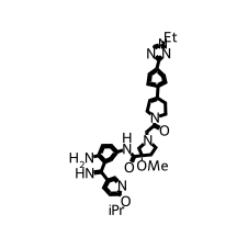 CCn1cnc(-c2ccc(C3=CCN(C(=O)CN4CC[C@@](OC)(C(=O)Nc5ccc(N)c(C(=N)c6ccc(OC(C)C)nc6)c5)C4)CC3)cc2)n1